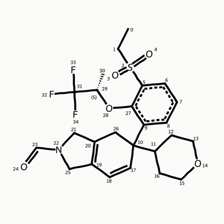 CCS(=O)(=O)c1cccc(C2(C3CCOCC3)C=CC3=C(CN(C=O)C3)C2)c1O[C@@H](C)C(F)(F)F